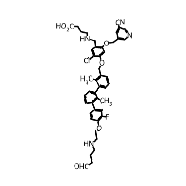 Cc1c(COc2cc(OCc3cncc(C#N)c3)c(CNCCCC(=O)O)cc2Cl)cccc1-c1cccc(-c2ccc(OCCNCCCC=O)c(F)c2)c1C